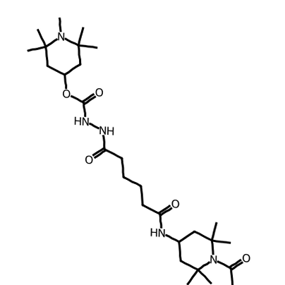 CC(=O)N1C(C)(C)CC(NC(=O)CCCCC(=O)NNC(=O)OC2CC(C)(C)N(C)C(C)(C)C2)CC1(C)C